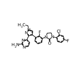 CCn1cc(-c2cccc(N3CCN(c4ccc(F)cc4Cl)C3=O)c2F)c(-c2ccnc(N)n2)n1